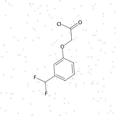 O=C(Cl)COc1cccc(C(F)F)c1